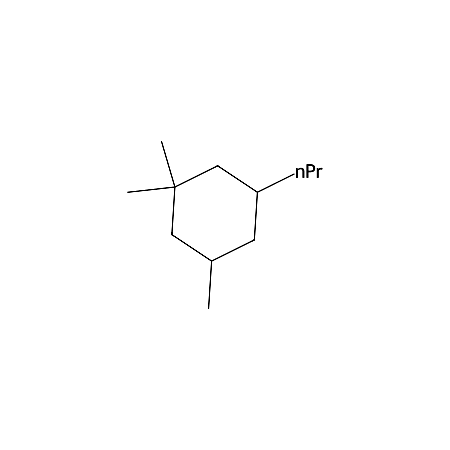 CCCC1CC(C)CC(C)(C)C1